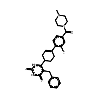 CN1CCN(C(=O)c2ccc(C3=CCC(c4[nH]c(=O)[nH]c(=O)c4Cc4ccccc4)CC3)c(Cl)c2)CC1